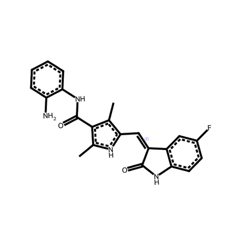 Cc1[nH]c(/C=C2\C(=O)Nc3ccc(F)cc32)c(C)c1C(=O)Nc1ccccc1N